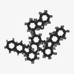 c1ccc2cc3c(cc2c1)c1cccc2c1n3-c1cc(-c3cccc4c3oc3ccccc34)cc3c1B2c1cccc2c4cc5ccccc5cc4n-3c12